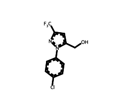 OCc1cc(C(F)(F)F)nn1-c1ccc(Cl)cc1